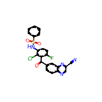 N#Cc1cnc2ccc(C(=O)c3c(F)ccc(NS(=O)(=O)c4ccccc4)c3Cl)cc2n1